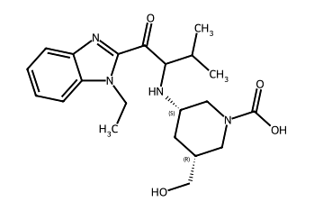 CCn1c(C(=O)C(N[C@H]2C[C@@H](CO)CN(C(=O)O)C2)C(C)C)nc2ccccc21